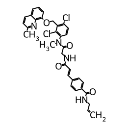 C=CCNC(=O)c1ccc(C=CC(=O)NCC(=O)N(C)c2ccc(Cl)c(COc3cccc4ccc(C)nc34)c2Cl)cc1